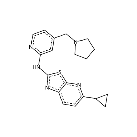 c1cc(CN2CCCC2)cc(Nc2nc3ccc(C4CC4)nc3s2)n1